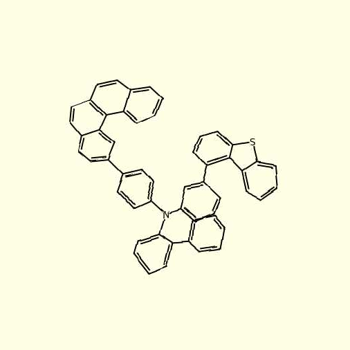 c1ccc(-c2ccccc2N(c2ccc(-c3ccc4ccc5ccc6ccccc6c5c4c3)cc2)c2cccc(-c3cccc4sc5ccccc5c34)c2)cc1